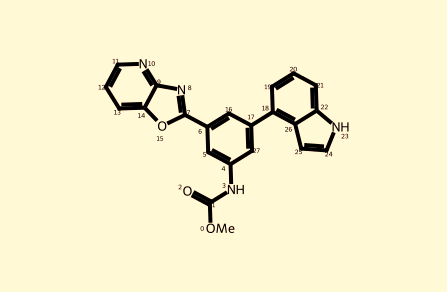 COC(=O)Nc1cc(-c2nc3ncccc3o2)cc(-c2cccc3[nH]ccc23)c1